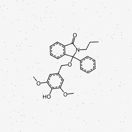 CCCN1C(=O)c2ccccc2C1(OCc1cc(OC)c(O)c(OC)c1)c1ccccc1